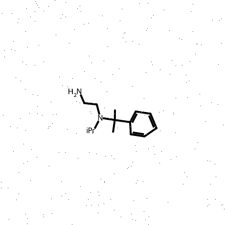 CC(C)N(CCN)C(C)(C)c1ccccc1